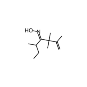 C=C(C)C(C)(C)C(=NO)C(C)CC